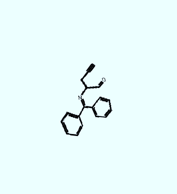 C#CCC(C=O)N=C(c1ccccc1)c1ccccc1